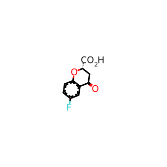 O=C1C[C@@H](C(=O)O)Oc2ccc(F)cc21